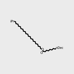 CCCCCCCCCCCCCCCCCC(=O)OCCCCCCCCCCCCCCCCCCCCCCC(C)C